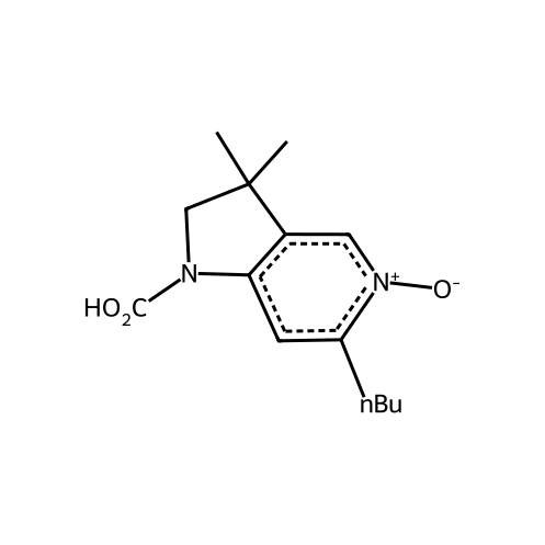 CCCCc1cc2c(c[n+]1[O-])C(C)(C)CN2C(=O)O